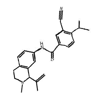 C=C(C)C1c2cc(NC(=O)c3ccc(C(C)C)c(C#N)c3)ccc2CCN1C